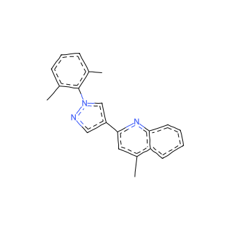 Cc1cccc(C)c1-n1cc(-c2cc(C)c3ccccc3n2)cn1